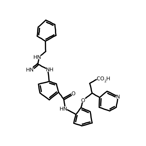 N=C(NCc1ccccc1)Nc1cccc(C(=O)Nc2ccccc2OC(CC(=O)O)c2cccnc2)c1